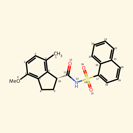 COc1ccc(C)c2c1CC[C@H]2C(=O)NS(=O)(=O)c1cccc2ccccc12